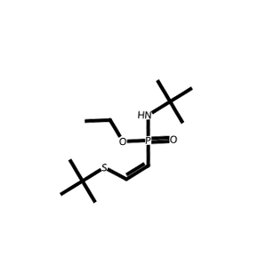 CCOP(=O)(/C=C\SC(C)(C)C)NC(C)(C)C